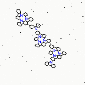 c1ccc2c(c1)c1ccccc1n2-c1ccc2c(c1)c1ccc3c4ccccc4n4c5cccc6c7cc(-c8cccc9c8c8ccc%10c%11ccccc%11n%11c%12ccccc%12n%12c%13ccc(-n%14c%15ccccc%15c%15cc(-c%16cc%17c%18ccccc%18n%18c%19cccc%20c%21ccccc%21n(c%21ccccc%21n%21c%22ccccc%22c%16c%21c%17%18)c%20%19)ccc%15%14)cc%13c%13cccc(c%13%12)n9c8c%10%11)ccc7n(c7ccccc7n2c1c34)c65